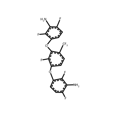 Nc1c(F)ccc(Oc2ccc(C(F)(F)F)c(Oc3ccc(F)c(N)c3F)c2F)c1F